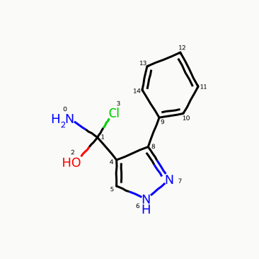 NC(O)(Cl)c1c[nH]nc1-c1ccccc1